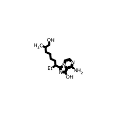 CCC(CCCCC(C)CO)c1nc(O)c2c(N)nccn12